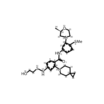 CSc1ccc(NC(=O)c2ccc(NSCCO)cc2N2CCC3(CC2)CC3)cc1N1CCO[C@H](C)C1